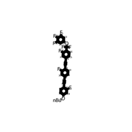 CCCCOc1ccc(C#Cc2ccc(C#Cc3ccc(C(F)(F)Oc4cc(F)c(F)c(F)c4)c(F)c3)c(F)c2)c(F)c1